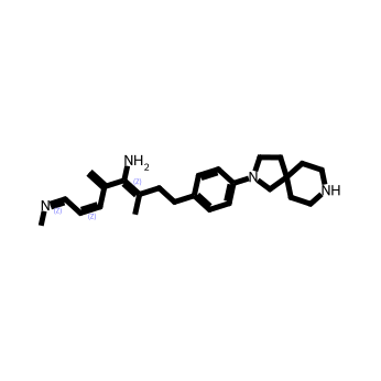 C=C(/C=C\C=N/C)/C(N)=C(\C)CCc1ccc(N2CCC3(CCNCC3)C2)cc1